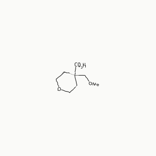 COCC1(C(=O)O)CCOCC1